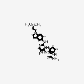 CN(C)CCN1CCc2cc(Nc3ncc(F)c(N[C@H]4[C@@H](C(N)=O)[C@@H]5C=C[C@H]4C5)n3)ccc21